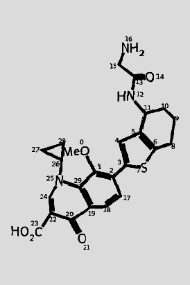 COc1c(-c2cc3c(s2)CCCC3NC(=O)CN)ccc2c(=O)c(C(=O)O)cn(C3CC3)c12